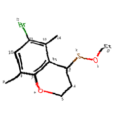 CCOSC1CCOc2c(C)cc(Br)c(C)c21